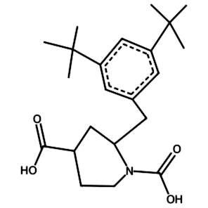 CC(C)(C)c1cc(CC2CC(C(=O)O)CCN2C(=O)O)cc(C(C)(C)C)c1